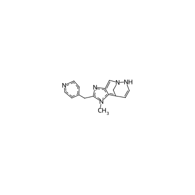 Cn1c(Cc2ccncc2)nc2c1=C1C=CNN(C=2)C1